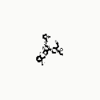 C=CC(=O)N1CCN(c2nc(OCC3CCCN3C)nc3c2CN(Cc2c(F)cccc2OC)C3)CC1CC#N